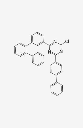 Clc1nc(-c2ccc(-c3ccccc3)cc2)nc(-c2cccc(-c3ccccc3-c3ccccc3)c2)n1